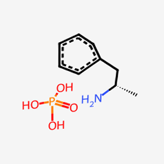 C[C@H](N)Cc1ccccc1.O=P(O)(O)O